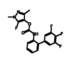 Cc1nn(C)c(F)c1OC(=O)Nc1ccccc1-c1cc(F)c(F)c(F)c1